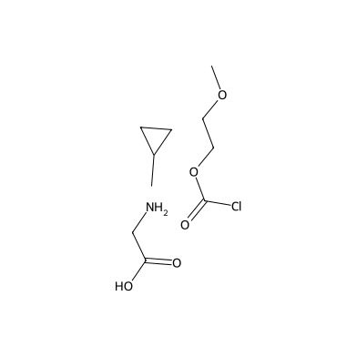 CC1CC1.COCCOC(=O)Cl.NCC(=O)O